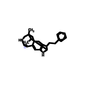 CC1C2NC3=C(CC4CC1(C)CN/C=C\C4=C3)C2CCc1ccccc1